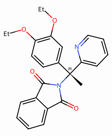 CCOc1ccc([C@](C)(c2ccccn2)N2C(=O)c3ccccc3C2=O)cc1OCC